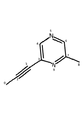 CC#Cc1cncc(C)n1